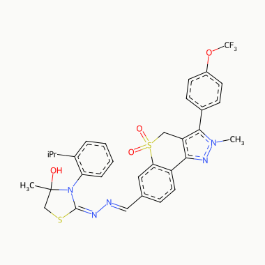 CC(C)c1ccccc1N1C(=NN=Cc2ccc3c(c2)S(=O)(=O)Cc2c-3nn(C)c2-c2ccc(OC(F)(F)F)cc2)SCC1(C)O